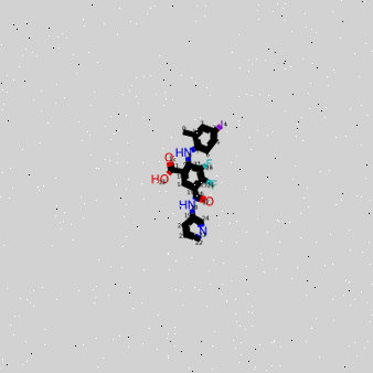 Cc1cc(I)ccc1Nc1c(C(=O)O)cc(C(=O)Nc2cccnc2)c(F)c1F